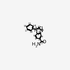 Cl.NC(=O)c1ccc2c(c1)ncn2-c1ccccc1